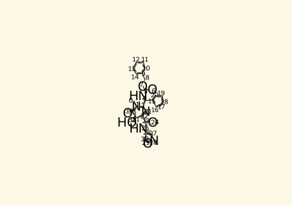 Cn1c(C(NC(=O)OCc2ccccc2)c2ccccc2)nc(C(=O)Nc2cnoc2)c(O)c1=O